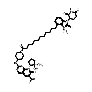 Cn1c(=O)n(C2CCC(=O)NC2=O)c2cccc(CCCCCCCCCCCC(=O)N3CCC(Nc4ncc5cc(C(F)F)c(=O)n([C@@H]6CCC[C@@]6(C)O)c5n4)CC3)c21